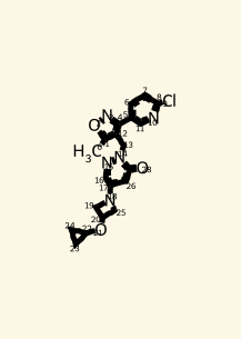 Cc1onc(-c2ccc(Cl)nc2)c1Cn1ncc(N2CC(OC3CC3)C2)cc1=O